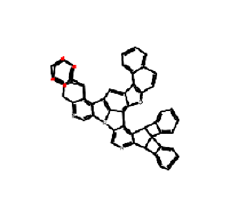 c1ccc2c(c1)C1c3ccccc3C2c2c1ncc1c2c2cc3c(oc4ccc5ccccc5c43)c3c4c5c(ncc4n1c23)C1c2ccccc2C12c1ccccc1C52